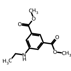 CCNc1cc(C(=O)OC)cc(C(=O)OC)c1